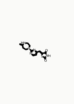 C=C1CCN(c2nccc(/C=C3\SC(=O)NC3=O)n2)CCN1